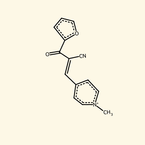 C[n+]1ccc(/C=C(\C#N)C(=O)c2ccco2)cc1